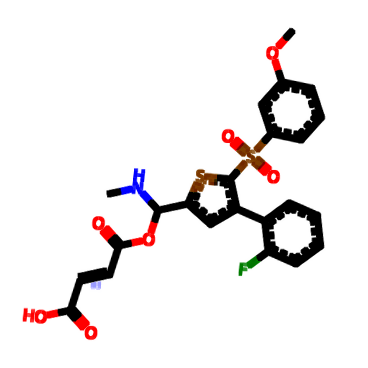 CNC(OC(=O)/C=C/C(=O)O)c1cc(-c2ccccc2F)c(S(=O)(=O)c2cccc(OC)c2)s1